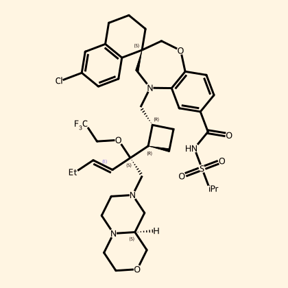 CC/C=C/[C@@](CN1CCN2CCOC[C@@H]2C1)(OCC(F)(F)F)[C@@H]1CC[C@H]1CN1C[C@@]2(CCCc3cc(Cl)ccc32)COc2ccc(C(=O)NS(=O)(=O)C(C)C)cc21